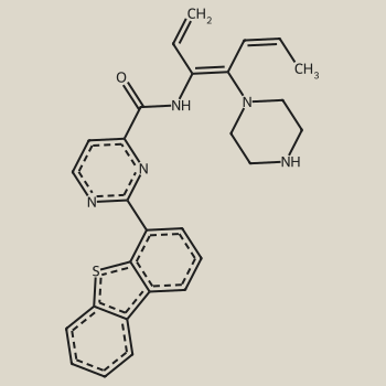 C=C/C(NC(=O)c1ccnc(-c2cccc3c2sc2ccccc23)n1)=C(\C=C/C)N1CCNCC1